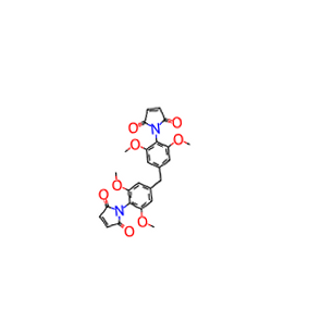 COc1cc(Cc2cc(OC)c(N3C(=O)C=CC3=O)c(OC)c2)cc(OC)c1N1C(=O)C=CC1=O